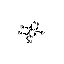 CCC(C)[Si](Br)(Br)[Si](Br)(C(C)CC)[Si](Br)(Br)Br